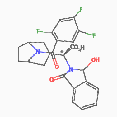 O=C(O)[C@H](C1CC2CCC(C1)N2C(=O)c1cc(F)c(F)cc1F)N1C(=O)c2ccccc2C1O